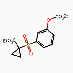 CCOC(=O)Oc1cccc(S(=O)(=O)C2(C(=O)OCC)CC2)c1